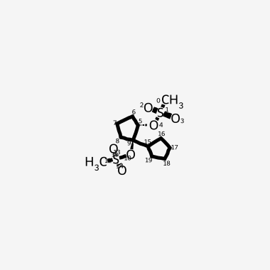 CS(=O)(=O)O[C@H]1CCC[C@@]1(OS(C)(=O)=O)C1CCCC1